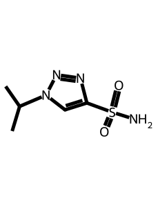 CC(C)n1cc(S(N)(=O)=O)nn1